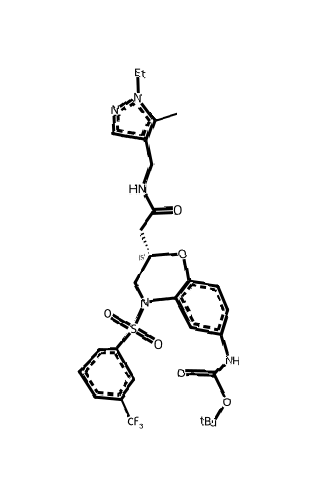 CCn1ncc(CNC(=O)C[C@H]2CN(S(=O)(=O)c3cccc(C(F)(F)F)c3)c3cc(NC(=O)OC(C)(C)C)ccc3O2)c1C